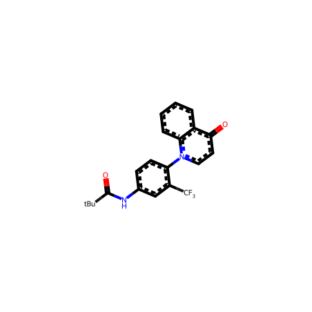 CC(C)(C)C(=O)Nc1ccc(-n2ccc(=O)c3ccccc32)c(C(F)(F)F)c1